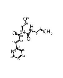 C=CCNC(=O)N(C[C]=O)C(=O)C=Cc1ccccn1